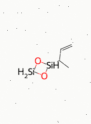 C=CC(C)[SiH]1O[SiH2]O1